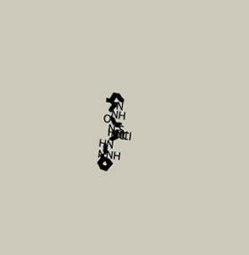 Cc1cccnc1CNC(=O)c1csc(CCNCc2nc3ccccc3[nH]2)n1.Cl.Cl.Cl